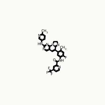 Cc1ccc(Nc2ncc3c(n2)N2CCN=C2C(c2cc(NC(=O)c4cc(C(F)(F)F)ccn4)c(F)cc2C)=C3)cn1